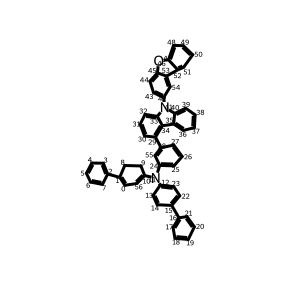 C1=C(c2ccccc2)CCC(N(c2ccc(-c3ccccc3)cc2)c2cccc(-c3cccc4c3c3ccccc3n4-c3ccc4oc5ccccc5c4c3)c2)=C1